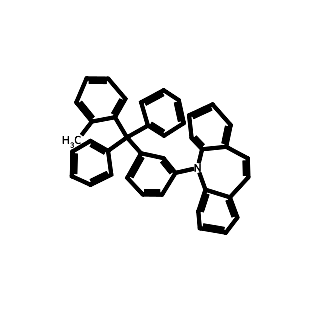 Cc1ccccc1C(c1ccccc1)(c1ccccc1)c1cccc(N2c3ccccc3C=Cc3ccccc32)c1